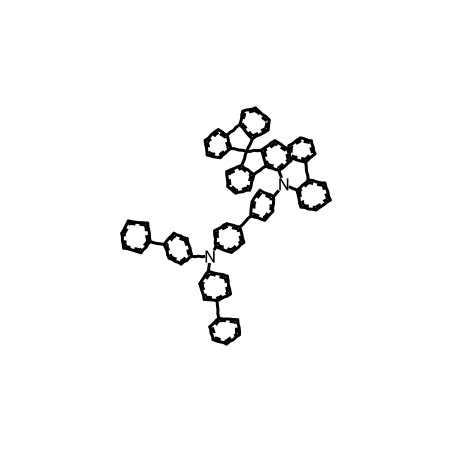 c1ccc(-c2ccc(N(c3ccc(-c4ccccc4)cc3)c3ccc(-c4ccc(N(c5ccccc5-c5ccccc5)c5cccc6c5-c5ccccc5C65c6ccccc6-c6ccccc65)cc4)cc3)cc2)cc1